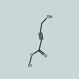 CCOC(=O)C#CCO